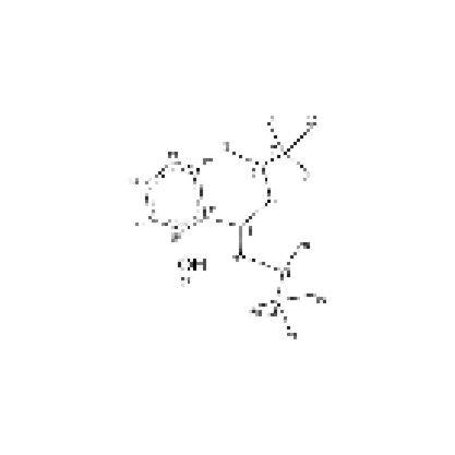 CC(CC(CC(C)C(C)(C)C)c1ccccc1O)C(C)(C)C